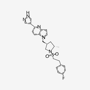 C[C@H]1C[C@H](Cn2ccc3nc(-c4cn[nH]c4)ccc32)CN1S(=O)(=O)CCc1ccc(F)cc1